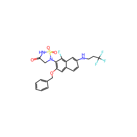 O=C1CN(c2c(OCc3ccccc3)cc3ccc(NCCC(F)(F)F)cc3c2F)S(=O)(=O)N1